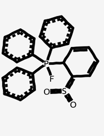 O=S(=O)=C1C=CC=CC1P(F)(c1ccccc1)(c1ccccc1)c1ccccc1